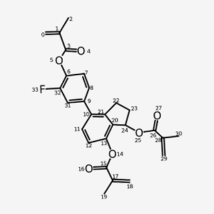 C=C(C)C(=O)Oc1ccc(-c2ccc(OC(=O)C(=C)C)c3c2CCC3OC(=O)C(=C)C)cc1F